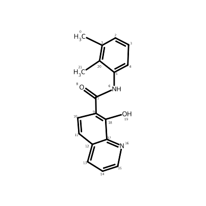 Cc1cccc(NC(=O)c2ccc3cccnc3c2O)c1C